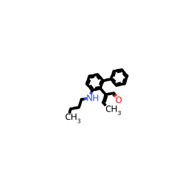 CC=C(C=O)c1c(NCCCC)cccc1-c1ccccc1